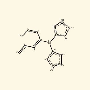 C=C/C=C(\C=C/C)N(c1ccsc1)c1ccsc1